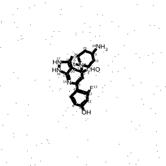 CC[N+]1(C2(C=O)C=C(c3ccc(O)cc3F)N=C3NNC(C)=C32)CCC(N)CC1